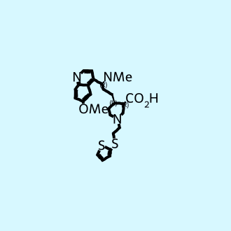 CN[C@H](CC[C@@H]1CCN(CCSc2cccs2)C[C@@H]1C(=O)O)c1ccnc2ccc(OC)cc12